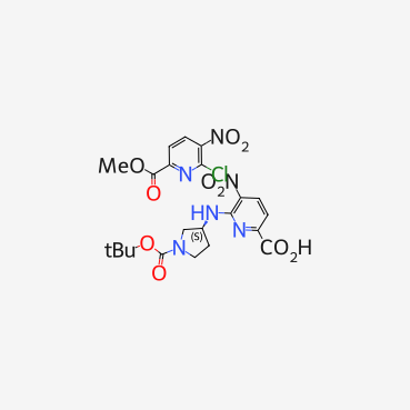 CC(C)(C)OC(=O)N1CC[C@H](Nc2nc(C(=O)O)ccc2[N+](=O)[O-])C1.COC(=O)c1ccc([N+](=O)[O-])c(Cl)n1